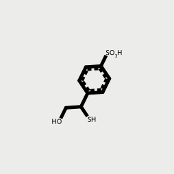 O=S(=O)(O)c1ccc(C(S)CO)cc1